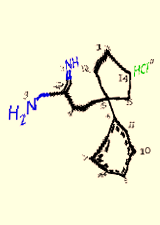 Cl.N=C(N)CC1(c2ccccc2)CCCC1